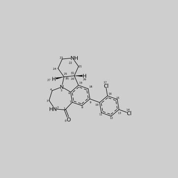 O=C1NCCN2c3c1cc(-c1ccc(Cl)cc1Cl)cc3[C@H]1CNCC[C@H]12